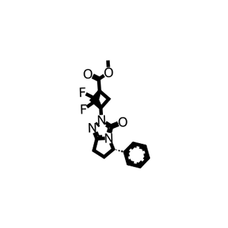 COC(=O)C12CC(n3nc4n(c3=O)[C@H](c3ccccc3)CC4)(C1)C2(F)F